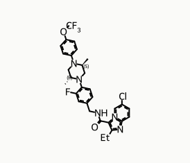 CCc1nc2ccc(Cl)cn2c1C(=O)NCc1ccc(N2C[C@H](C)N(c3ccc(OC(F)(F)F)cc3)C[C@H]2C)c(F)c1